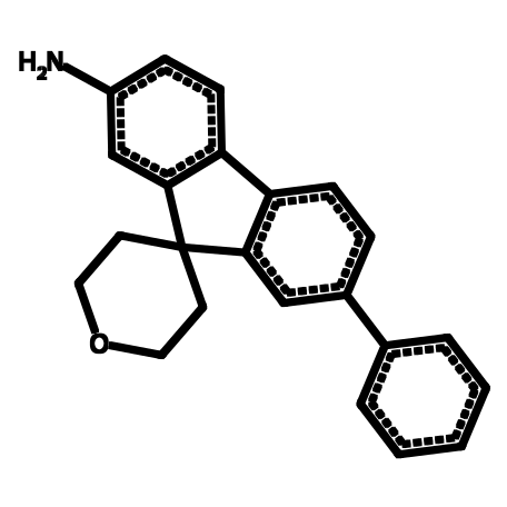 Nc1ccc2c(c1)C1(CCOCC1)c1cc(-c3ccccc3)ccc1-2